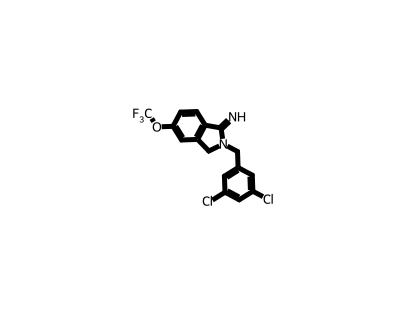 N=C1c2ccc(OC(F)(F)F)cc2CN1Cc1cc(Cl)cc(Cl)c1